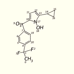 CC(F)(F)c1ccc(C(=O)c2ccc(C3CC3)n2O)cc1